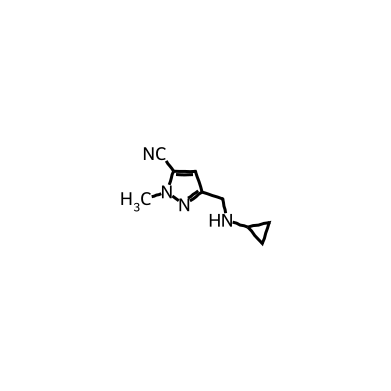 Cn1nc(CNC2CC2)cc1C#N